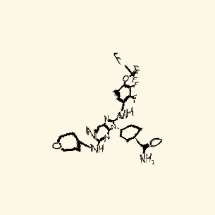 NC(=O)[C@H]1CC[C@H](n2c(Nc3ccc(OC(F)(F)F)c(F)c3F)nc3cnc(NC4CCOCC4)nc32)CC1